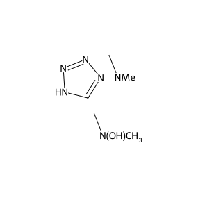 CN(C)O.CNC.c1nnn[nH]1